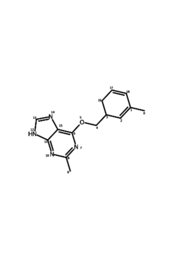 CC1=CC(COc2nc(C)nc3[nH]cnc23)CC=C1